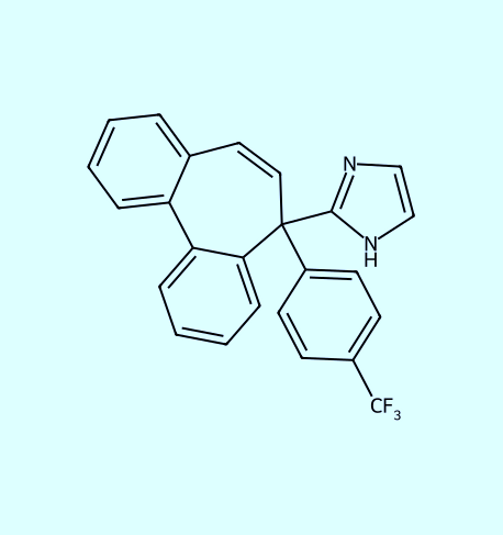 FC(F)(F)c1ccc(C2(c3ncc[nH]3)C=Cc3ccccc3-c3ccccc32)cc1